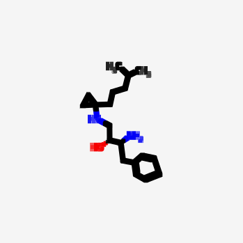 CC(C)CCCC1(NC[C@@H](O)[C@@H](N)Cc2ccccc2)CC1